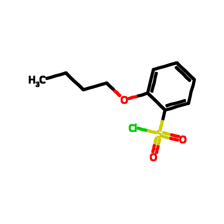 CCCCOc1ccccc1S(=O)(=O)Cl